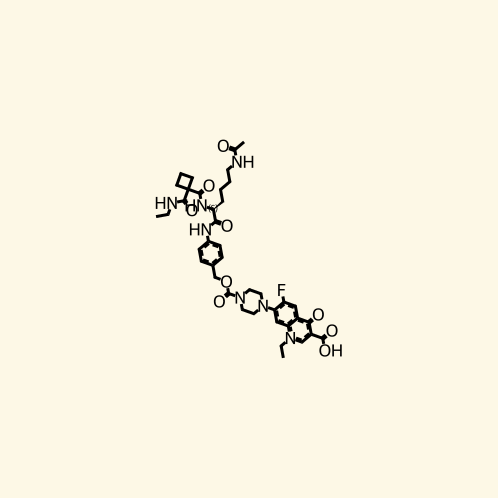 CCNC(=O)C1(C(=O)N[C@@H](CCCCNC(C)=O)C(=O)Nc2ccc(COC(=O)N3CCN(c4cc5c(cc4F)c(=O)c(C(=O)O)cn5CC)CC3)cc2)CCC1